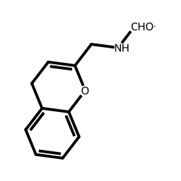 O=[C]NCC1=CCc2ccccc2O1